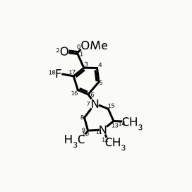 COC(=O)c1ccc(N2CC(C)N(C)C(C)C2)cc1F